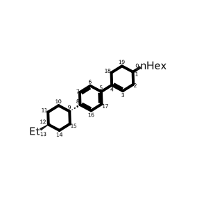 CCCCCCC1CC=C(c2ccc([C@H]3CC[C@H](CC)CC3)cc2)CC1